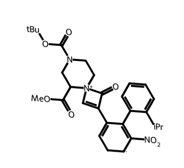 COC(=O)C1CN(C(=O)OC(C)(C)C)CC[N+]12C=C(C1=CC[CH]C([N+](=O)[O-])=C1c1ccccc1C(C)C)C2=O